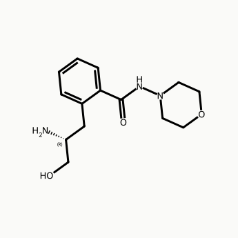 N[C@@H](CO)Cc1ccccc1C(=O)NN1CCOCC1